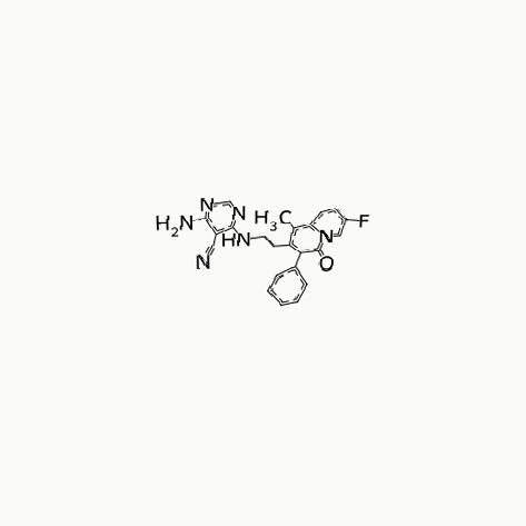 Cc1c(CCNc2ncnc(N)c2C#N)c(-c2ccccc2)c(=O)n2cc(F)ccc12